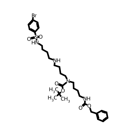 CC(C)(C)OC(=O)N(CCCCNCCCCNS(=O)(=O)c1ccc(Br)cc1)CCCCNC(=O)OCc1ccccc1